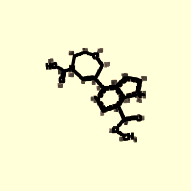 COC(=O)c1cnc(C2=CN(C(=O)O)CCOC2)c2cc[nH]c12